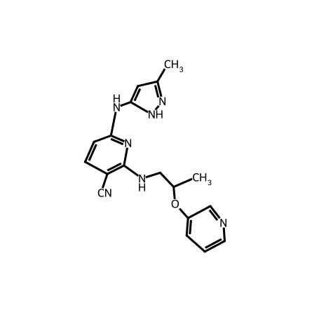 Cc1cc(Nc2ccc(C#N)c(NCC(C)Oc3cccnc3)n2)[nH]n1